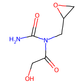 NC(=O)N(CC1CO1)C(=O)CO